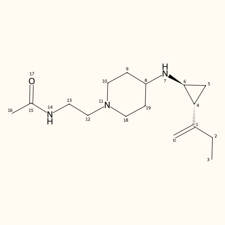 C=C(CC)[C@H]1C[C@@H]1NC1CCN(CCNC(C)=O)CC1